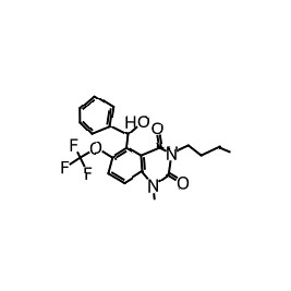 CCCCn1c(=O)c2c(C(O)c3ccccc3)c(OC(F)(F)F)ccc2n(C)c1=O